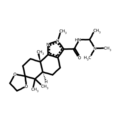 CC(NC(=O)c1c2c(nn1C)[C@@]1(C)CCC3(OCCO3)C(C)(C)[C@@H]1CC2)N(C)C